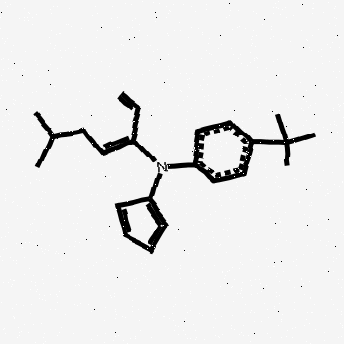 C=C/C(=C\CC(C)C)N(C1=C=CC=C1)c1ccc(C(C)(C)C)cc1